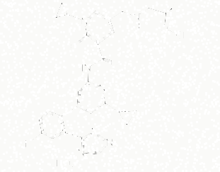 CO[C@H](C)CNCc1cc(C(=O)Nc2cc(-c3ccc(F)cc3-c3nncn3C)cc(C3CC3)n2)c(=O)n(C2CC2)c1